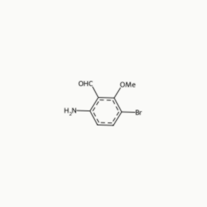 COc1c(Br)ccc(N)c1C=O